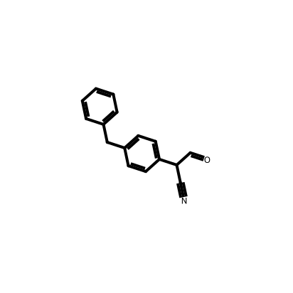 N#CC(C=O)c1ccc(Cc2ccccc2)cc1